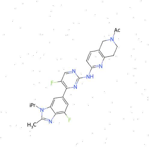 CC(=O)N1CCc2nc(Nc3ncc(F)c(-c4cc(F)c5nc(C)n(C(C)C)c5c4)n3)ccc2C1